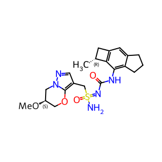 CO[C@@H]1COc2c(CS(N)(=O)=NC(=O)Nc3c4c(cc5c3[C@H](C)C5)CCC4)cnn2C1